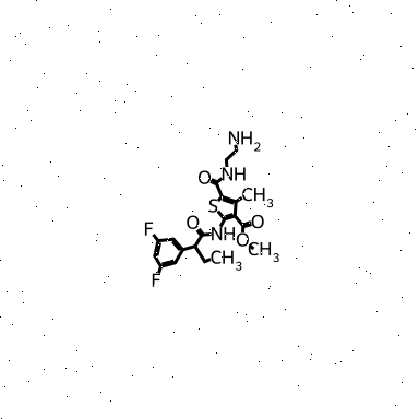 CCC(C(=O)Nc1sc(C(=O)NCCN)c(C)c1C(=O)OC)c1cc(F)cc(F)c1